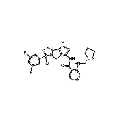 CC1(C)c2[nH]nc(NC(=O)c3ccccc3NC[C@@H]3CCCN3)c2CN1S(=O)(=O)c1cc(F)cc(F)c1